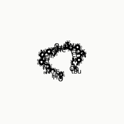 CN1CCN(C(=O)OC(C)(C)C)Cc2ccc(-c3nccc(-c4cccc(-c5ccc6c(C=O)cn(C)c6n5)c4Cl)c3Cl)cc21.CN1CCN(C(=O)OC(C)(C)C)Cc2ccc(-c3nccc(-c4cccc(-c5ccc6c(CNC[C@@H]7CCC(=O)N7)cn(C)c6n5)c4Cl)c3Cl)cc21